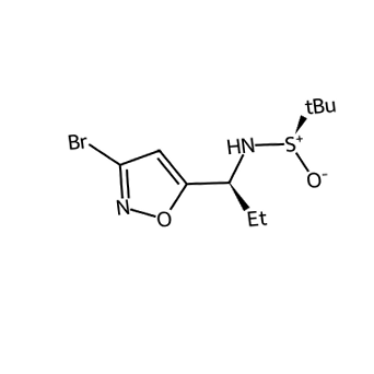 CC[C@H](N[S@+]([O-])C(C)(C)C)c1cc(Br)no1